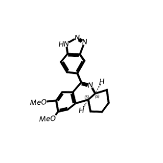 COc1cc2c(cc1OC)[C@@H]1CCCC[C@@H]1N=C2c1ccc2[nH]nnc2c1